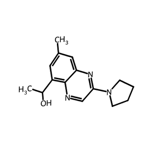 Cc1cc(C(C)O)c2ncc(N3CCCC3)nc2c1